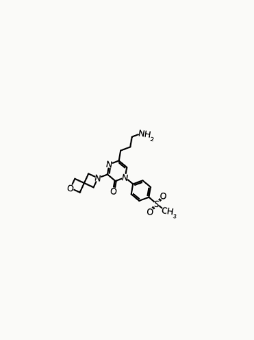 CS(=O)(=O)c1ccc(-n2cc(CCCN)nc(N3CC4(COC4)C3)c2=O)cc1